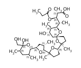 CCC(=O)O[C@H]([C@H](C)[C@H]1O[C@@]2(CC[C@@](C)([C@H]3CC[C@@](C)([C@@H]4O[C@@H]([C@H]5O[C@@](O)(CO)[C@H](C)C[C@@H]5C)C[C@@H]4C)O3)O2)C[C@H](O)[C@H]1C)[C@H](C)C(=O)O